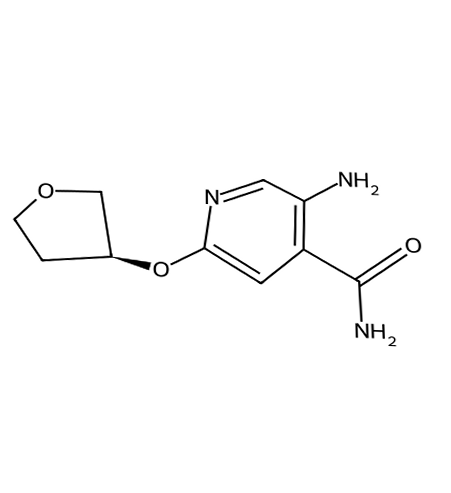 NC(=O)c1cc(O[C@H]2CCOC2)ncc1N